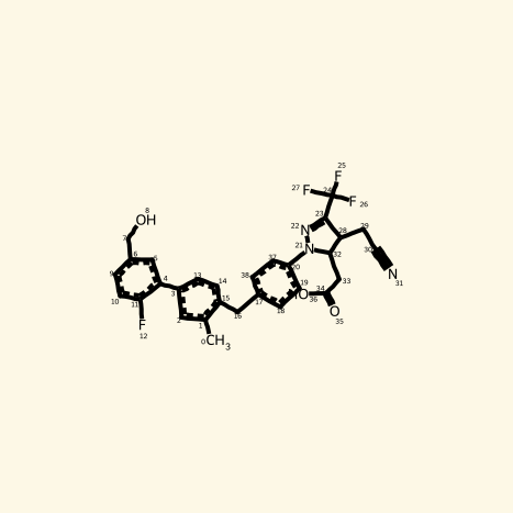 Cc1cc(-c2cc(CO)ccc2F)ccc1Cc1ccc(N2N=C(C(F)(F)F)C(CC#N)C2CC(=O)O)cc1